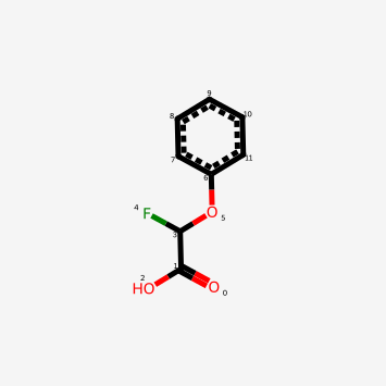 O=C(O)C(F)Oc1ccccc1